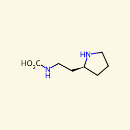 O=C(O)NCC[C@@H]1CCCN1